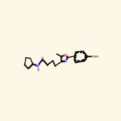 COc1ccc(-c2nc(CCCC(=O)NC3CCCC3)c(C)o2)cc1